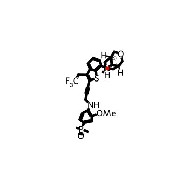 COc1cc(P(C)(C)=O)ccc1NCC#Cc1sc2c(NC3[C@@H]4COC[C@H]3CN(C)C4)cccc2c1CC(F)(F)F